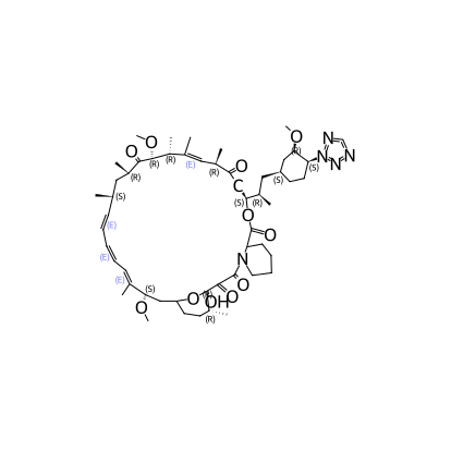 CO[C@H]1CC2CC[C@@H](C)[C@@](O)(O2)C(=O)C(=O)N2CCCCC2C(=O)O[C@H]([C@H](C)C[C@@H]2CC[C@H](n3ncnn3)[C@H](OC)C2)CC(=O)[C@H](C)/C=C(\C)[C@@H](C)[C@@H](OC)C(=O)[C@H](C)C[C@H](C)/C=C/C=C/C=C/1C